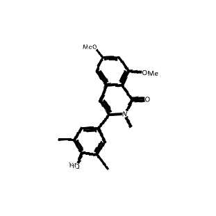 COc1cc(OC)c2c(=O)n(C)c(-c3cc(C)c(O)c(C)c3)cc2c1